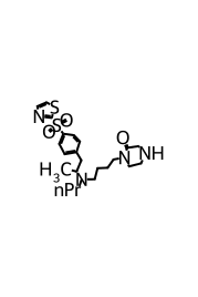 CCCN(CCCCN1CCNCC1=O)C(C)Cc1ccc(S(=O)(=O)c2nccs2)cc1